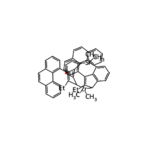 CCC1=C(c2cccc3ccc4ccccc4c23)c2c3cccc2[Si](C)(C)c2cccc4c2C(c2cccc5ccc6ccccc6c25)=C(CC)[CH]4[Zr]([CH3])([CH3])[CH]13